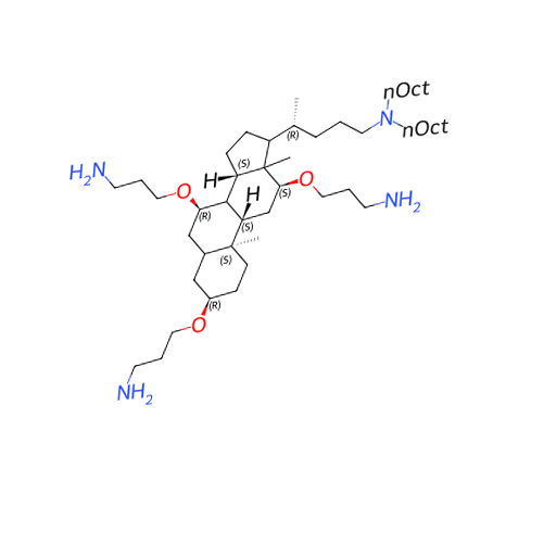 CCCCCCCCN(CCCCCCCC)CCC[C@@H](C)C1CC[C@H]2C3[C@H](OCCCN)CC4C[C@H](OCCCN)CC[C@]4(C)[C@H]3C[C@H](OCCCN)C12C